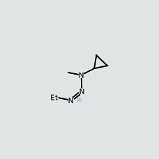 CC/N=N\N(C)C1CC1